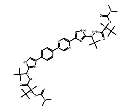 CN(C)C(=O)O[C@@](C)(C(=O)N[C@H](c1nc(-c2ccc(-c3cnc(-c4c[nH]c([C@@H](NC(=O)[C@](C)(OC(=O)N(C)C)C(C)(C)C)C(C)(C)C)n4)cn3)cc2)c[nH]1)C(C)(C)C)C(C)(C)C